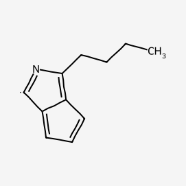 CCCCC1=C2C=CC=C2[C]=N1